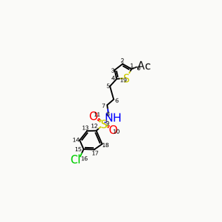 CC(=O)c1ccc(CCCNS(=O)(=O)c2ccc(Cl)cc2)s1